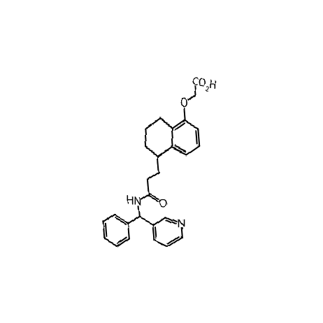 O=C(O)COc1cccc2c1CCCC2CCC(=O)NC(c1ccccc1)c1cccnc1